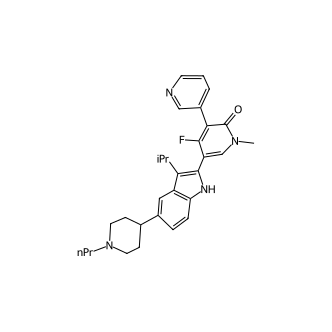 CCCN1CCC(c2ccc3[nH]c(-c4cn(C)c(=O)c(-c5cccnc5)c4F)c(C(C)C)c3c2)CC1